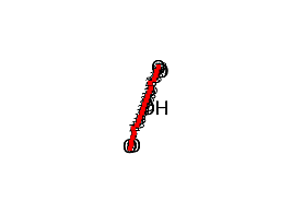 COC(=O)CCCCC#CCC#CCCCCCCCCC(O)CCCCCCCCC#CCC#CCCCCC(=O)OC